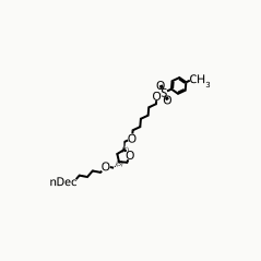 CCCCCCCCCCCCCCOC[C@H]1CO[C@H](COCCCCCCOS(=O)(=O)c2ccc(C)cc2)C1